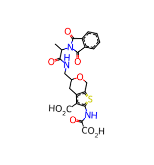 CC(C(=O)NCC1Cc2c(sc(NC(=O)C(=O)O)c2C(=O)O)CO1)N1C(=O)c2ccccc2C1=O